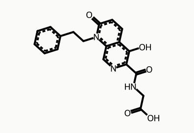 O=C(O)CNC(=O)c1ncc2c(ccc(=O)n2CCc2ccccc2)c1O